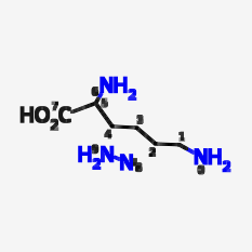 NCCCCC(N)C(=O)O.[N]N